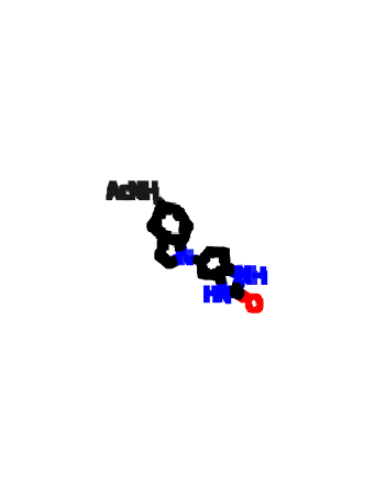 CC(=O)Nc1ccc2c(ccn2-c2ccc3[nH]c(=O)[nH]c3c2)c1